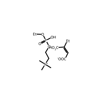 CC/C(=C/C(=O)[O-])C(=O)O.CCOP(=O)(O)OCC[N+](C)(C)C